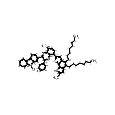 CCCCCCCCc1c(CCCCCCCC)c2cc(-c3ccc(C)c4nc(-c5ccc6c7ccccc7n(C)c6c5)c(-c5ccccc5)nc34)sc2c2sc(C)cc12